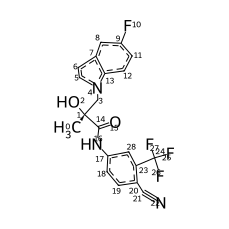 C[C@@](O)(Cn1ccc2cc(F)ccc21)C(=O)Nc1ccc(C#N)c(C(F)(F)F)c1